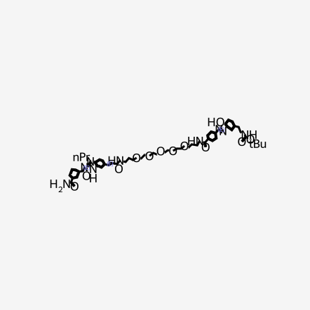 CCCn1/c(=N/C(=O)c2cccc(C(N)=O)c2)[nH]c2cc(/C=C/C(=O)NCCCOCCOCCOCCOCCOCCCNC(=O)c3ccc(/N=N/c4cc(CCNC(=O)OC(C)(C)C)ccc4O)cc3)ccc21